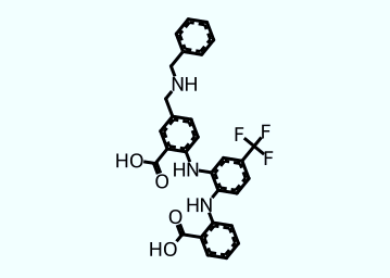 O=C(O)c1ccccc1Nc1ccc(C(F)(F)F)cc1Nc1ccc(CNCc2ccccc2)cc1C(=O)O